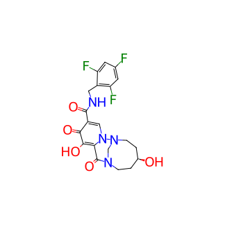 O=C(NCc1c(F)cc(F)cc1F)c1cn2c(c(O)c1=O)C(=O)N1CC[C@H](O)CCN2C1